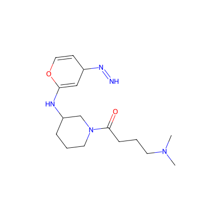 CN(C)CCCC(=O)N1CCCC(NC2=CC(N=N)C=CO2)C1